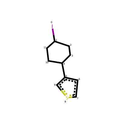 IC1CCC(c2ccsc2)CC1